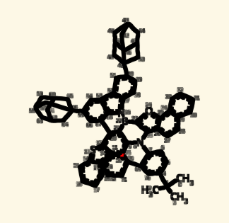 CC(C)(C)c1ccc(N2c3cc4c(sc5ccccc54)c4c3B(c3oc5c(ccc6ccccc65)c32)n2c3ccc(C56CC7CC(CC(C7)C5)C6)cc3c3cc(C56CC7CC(CC(C7)C5)C6)cc-4c32)c(-c2ccccc2)c1